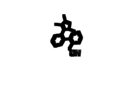 CC1=CC(C)C(c2ccccc2-c2ccccc2CO)=C1C